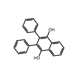 Oc1c(-c2ccccc2)c(-c2ccccc2)c(O)c2ccccc12